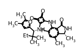 CCC(C)(C)[C@@H](Nc1c(Nc2c(F)cc(C)c3c2C(=O)N[C@@H]3C)c(=O)c1=O)c1cc(C)c(C)o1